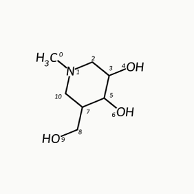 CN1CC(O)C(O)C(CO)C1